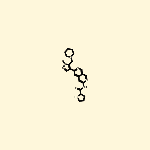 Cn1ncc(-c2cc3cc(NC(=O)C4CCCN4)ncc3cn2)c1CN1CCCCC1